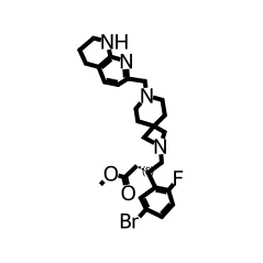 COC(=O)C[C@H](CN1CC2(CCN(Cc3ccc4c(n3)NCCC4)CC2)C1)c1cc(Br)ccc1F